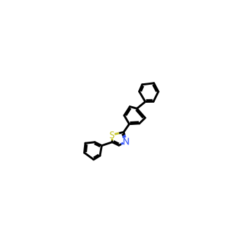 c1ccc(-c2ccc(-c3ncc(-c4ccccc4)s3)cc2)cc1